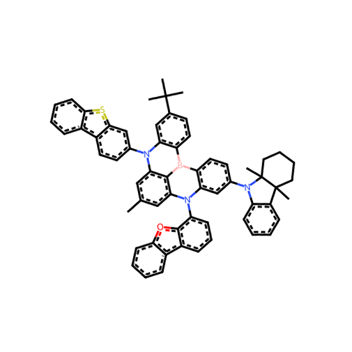 Cc1cc2c3c(c1)N(c1cccc4c1oc1ccccc14)c1cc(N4c5ccccc5C5(C)CCCCC45C)ccc1B3c1ccc(C(C)(C)C)cc1N2c1ccc2c(c1)sc1ccccc12